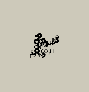 Cc1ccccc1C1=CC=CC(Nc2nccc3cc(CNCC4CCC(=O)N4)cnc23)(c2nc3cc(CN4CCC[C@H]4C(=O)O)c(OC(F)F)cc3o2)C1C